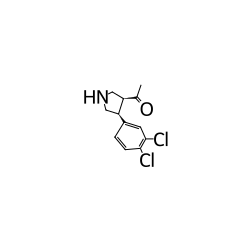 CC(=O)[C@@H]1CNC[C@@H]1c1ccc(Cl)c(Cl)c1